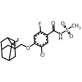 CS(=O)(=O)NC(=O)c1cc(Cl)c(OCC23CC4CC(C2)C(F)(F)C(C4)C3)cc1F